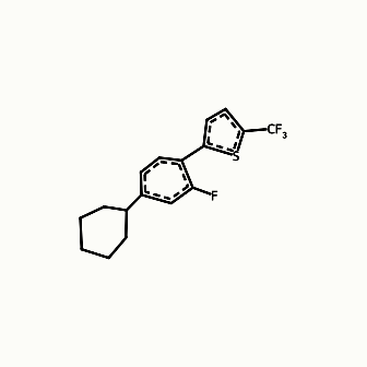 Fc1cc(C2CCCCC2)ccc1-c1ccc(C(F)(F)F)s1